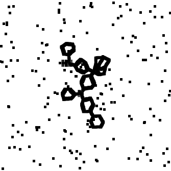 c1ccc(Nc2ccc(C3(c4ccc(N(c5ccccc5)c5ccc(C6CCCCC6)cc5)cc4)C4CC5CC(C4)CC3C5)cc2)cc1